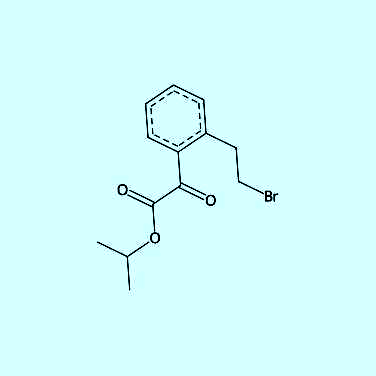 CC(C)OC(=O)C(=O)c1ccccc1CCBr